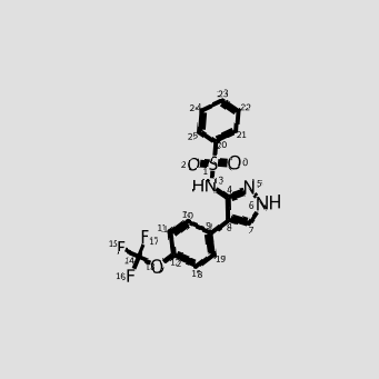 O=S(=O)(Nc1n[nH]cc1-c1ccc(OC(F)(F)F)cc1)c1ccccc1